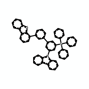 c1ccc([Si](c2ccccc2)(c2ccccc2)c2cc(-c3cccc(-c4cccc5c4sc4ccccc45)c3)cc(-n3c4ccccc4c4ccccc43)c2)cc1